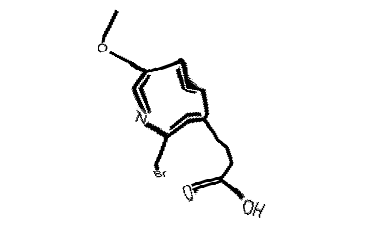 COc1ccc(CC(=O)O)c(Br)n1